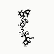 Cc1cc(NC(=O)NCCN2CCC(OC(=O)N(Cc3ccccc3)c3ccccc3)CC2)c2ccccc2n1